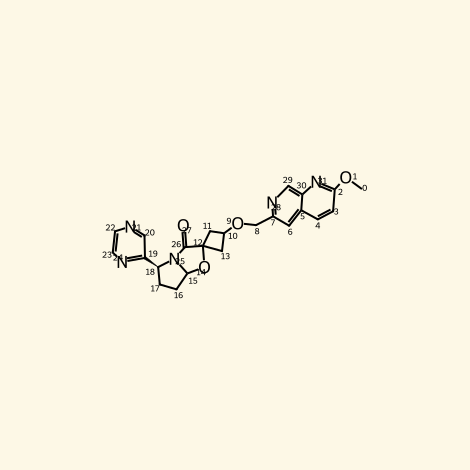 COc1ccc2cc(COC3CC4(C3)OC3CC[C@@H](c5cnccn5)N3C4=O)ncc2n1